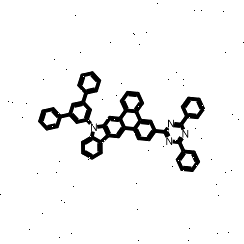 c1ccc(-c2cc(-c3ccccc3)cc(-n3c4ccccc4c4cc5c6ccc(-c7nc(-c8ccccc8)nc(-c8ccccc8)n7)cc6c6ccccc6c5cc43)c2)cc1